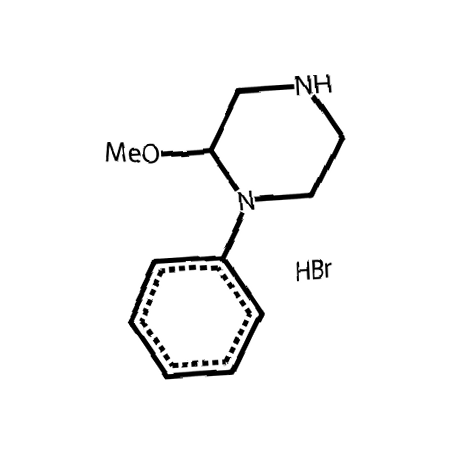 Br.COC1CNCCN1c1ccccc1